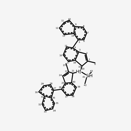 CC1=Cc2c(-c3cccc4ccccc34)cccc2[CH]1[Hf]([CH]1C(C)=Cc2c(-c3cccc4ccccc34)cccc21)[SiH](C)C